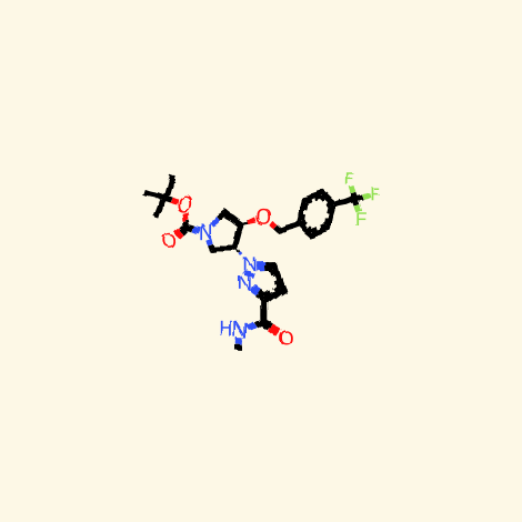 CNC(=O)c1ccn([C@@H]2CN(C(=O)OC(C)(C)C)C[C@H]2OCc2ccc(C(F)(F)F)cc2)n1